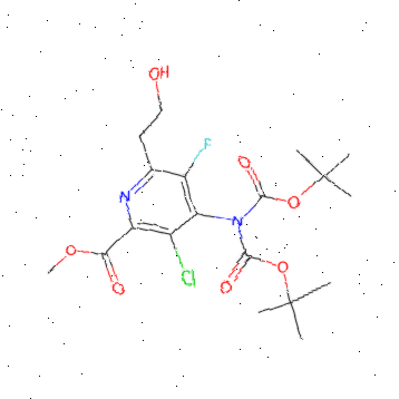 COC(=O)c1nc(CCO)c(F)c(N(C(=O)OC(C)(C)C)C(=O)OC(C)(C)C)c1Cl